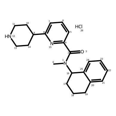 CN(C(=O)c1cccc(C2CCNCC2)n1)C1CCCc2ccccc21.Cl